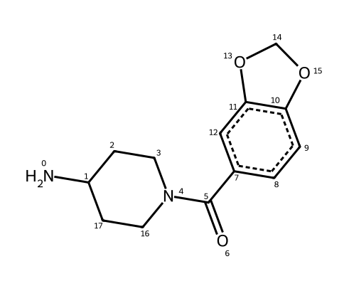 NC1CCN(C(=O)c2ccc3c(c2)OCO3)CC1